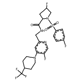 O=C(NCc1cc(N2CCC(C(F)(F)F)CC2)c(F)cn1)C1CC(F)CN1S(=O)(=O)c1ccc(F)cc1